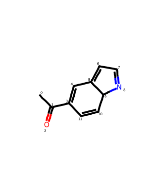 CC(=O)C1=CC2=CC=NC2C=C1